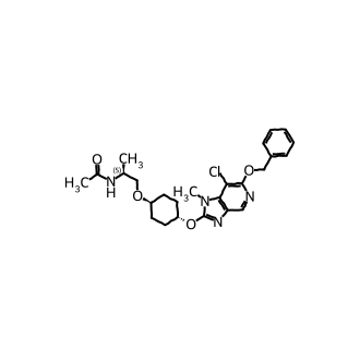 CC(=O)N[C@@H](C)CO[C@H]1CC[C@H](Oc2nc3cnc(OCc4ccccc4)c(Cl)c3n2C)CC1